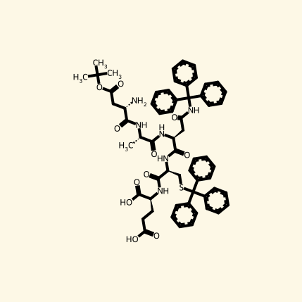 C[C@H](NC(=O)[C@@H](N)CC(=O)OC(C)(C)C)C(=O)N[C@@H](CC(=O)NC(c1ccccc1)(c1ccccc1)c1ccccc1)C(=O)N[C@@H](CSC(c1ccccc1)(c1ccccc1)c1ccccc1)C(=O)N[C@@H](CCC(=O)O)C(=O)O